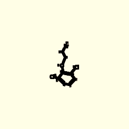 Clc1cccc(Cl)c1OCCBr